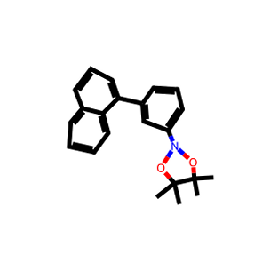 CC1(C)ON(c2cccc(-c3cccc4ccccc34)c2)OC1(C)C